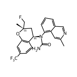 Cc1cc2c(N(C(N)=O)[C@@H]3C[C@@](C)(CF)Oc4cc(C(F)(F)F)ccc43)cccc2cn1